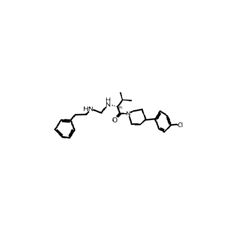 CC(C)[C@@H](NCNCCc1ccccc1)C(=O)N1CCC(c2ccc(Cl)cc2)CC1